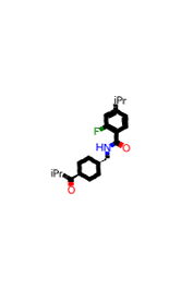 CC(C)c1ccc(C(=O)NC[C@H]2CC[C@H](C(=O)C(C)C)CC2)c(F)c1